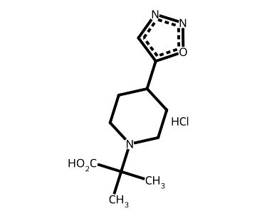 CC(C)(C(=O)O)N1CCC(c2cnno2)CC1.Cl